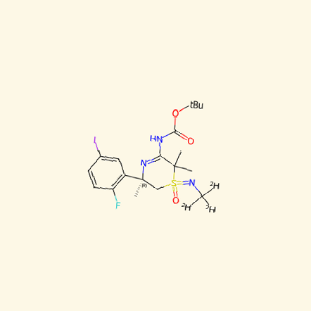 [2H]C([2H])([2H])N=S1(=O)C[C@@](C)(c2cc(I)ccc2F)N=C(NC(=O)OC(C)(C)C)C1(C)C